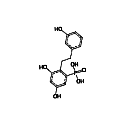 O=P(O)(O)c1cc(O)cc(O)c1CCc1cccc(O)c1